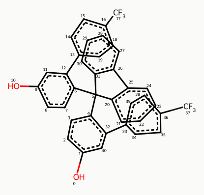 Oc1ccc(C2(c3ccc(O)cc3-c3ccc(C(F)(F)F)cc3)c3ccccc3-c3ccccc32)c(-c2ccc(C(F)(F)F)cc2)c1